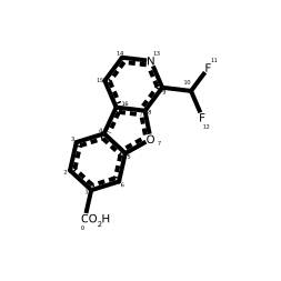 O=C(O)c1ccc2c(c1)oc1c(C(F)F)nccc12